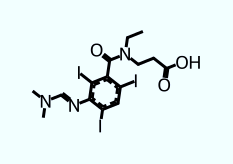 CCN(CCC(=O)O)C(=O)c1c(I)cc(I)c(N=CN(C)C)c1I